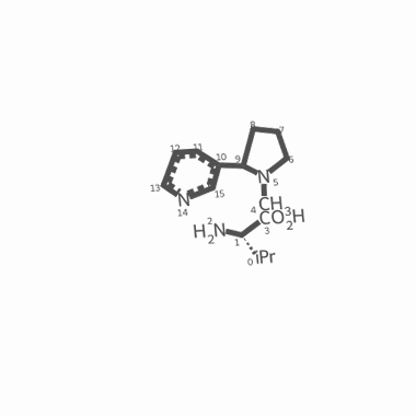 CC(C)[C@H](N)C(=O)O.CN1CCCC1c1cccnc1